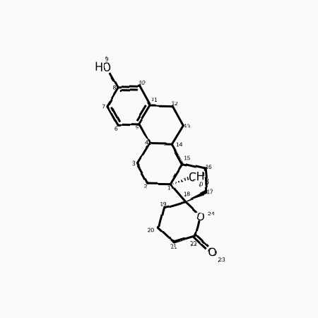 C[C@]12CCC3c4ccc(O)cc4CCC3C1CC[C@@]21CCCC(=O)O1